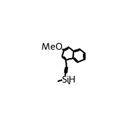 COc1cc(C#C[SiH](C)C)c2ccccc2c1